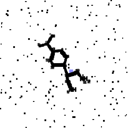 CC(C)c1ccc(/C(C=N)=C/N)cc1